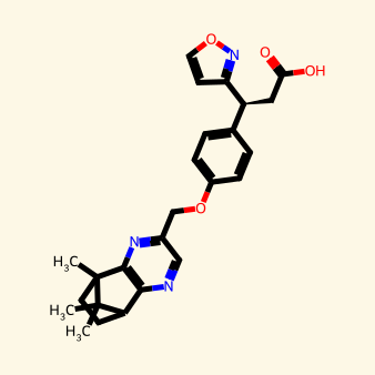 CC12CCC(c3ncc(COc4ccc([C@H](CC(=O)O)c5ccon5)cc4)nc31)C2(C)C